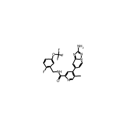 Cc1cnc(C(=O)NCc2cc(OC(F)(F)F)ccc2F)cc1-c1ccn2nc(N)nc2c1